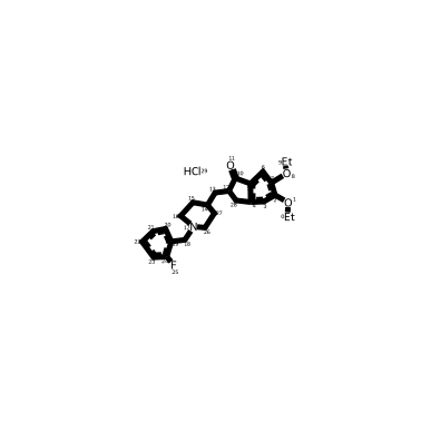 CCOc1cc2c(cc1OCC)C(=O)C(CC1CCN(Cc3ccccc3F)CC1)C2.Cl